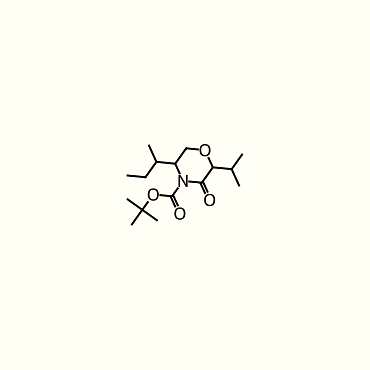 CCC(C)C1COC(C(C)C)C(=O)N1C(=O)OC(C)(C)C